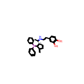 CC1CC[C@@H](C(C)NCCc2ccc(O)c(O)c2)C1P(c1ccccc1)c1ccccc1